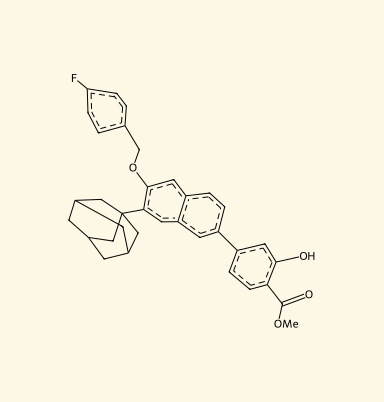 COC(=O)c1ccc(-c2ccc3cc(OCc4ccc(F)cc4)c(C45CC6CC(CC(C6)C4)C5)cc3c2)cc1O